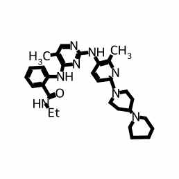 CCNC(=O)c1ccccc1Nc1nc(Nc2ccc(N3CCC(N4CCCCC4)CC3)nc2C)ncc1C